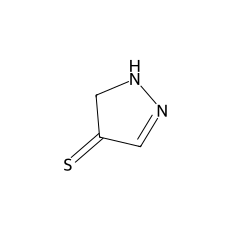 S=C1C=NNC1